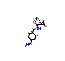 CC(C)(C)OC(NCC1CCC(CN)CC1)=C1CC1